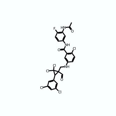 CC(=O)Nc1cc(NC(=O)c2cc(NCC3(C=O)C(c4cc(Cl)cc(Cl)c4)C3(Cl)Cl)ccc2Cl)ccc1F